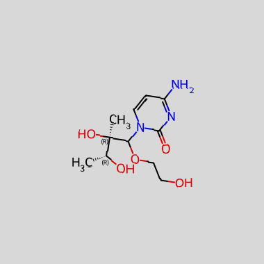 C[C@@H](O)[C@@](C)(O)C(OCCO)n1ccc(N)nc1=O